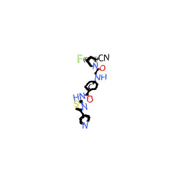 N#C[C@@H]1C[C@H](F)CN1C(=O)CNC12CCC(C(=O)Nc3nc(-c4ccncc4)cs3)(CC1)CC2